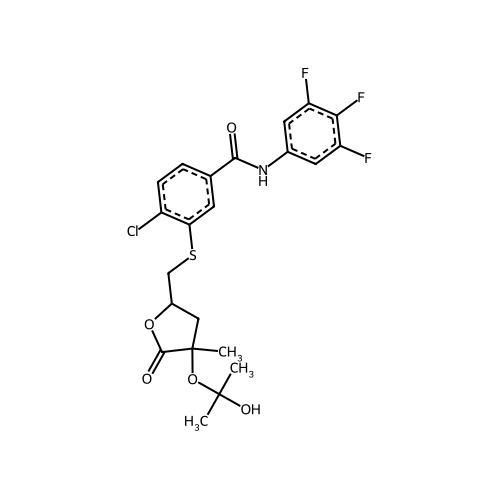 CC(C)(O)OC1(C)CC(CSc2cc(C(=O)Nc3cc(F)c(F)c(F)c3)ccc2Cl)OC1=O